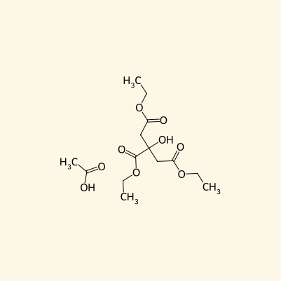 CC(=O)O.CCOC(=O)CC(O)(CC(=O)OCC)C(=O)OCC